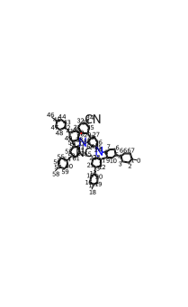 Cc1ccc(-c2ccc3c(c2)c2cc(-c4ccc(C)cc4)ccc2n3-c2ccc(-c3cccc(C#N)c3)c(-n3c4ccc(-c5ccc(C)cc5)cc4c4cc(-c5ccc(C)cc5)ccc43)c2C#N)cc1